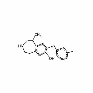 CC1CNCCc2cc(O)c(Cc3cccc(F)c3)cc21